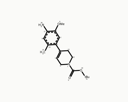 COc1cc(C2=CCN(C(=O)OC(C)(C)C)CC2)c(C)cc1N